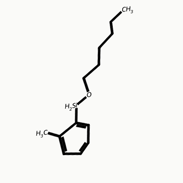 CCCCCCO[SiH2]c1ccccc1C